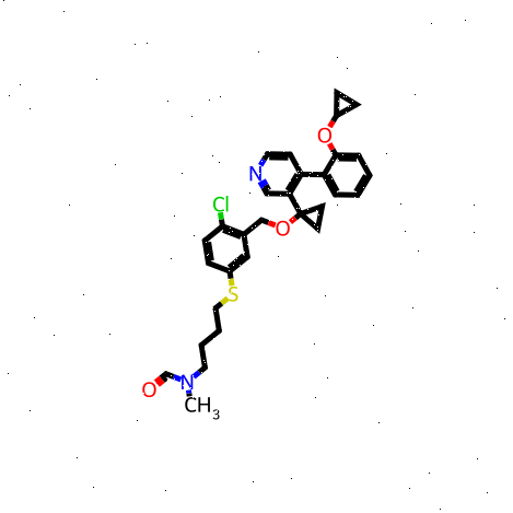 CN(C=O)CCCCSc1ccc(Cl)c(COC2(c3cnccc3-c3ccccc3OC3CC3)CC2)c1